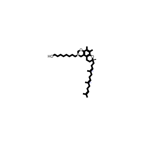 CC(C)=CCC/C(C)=C/CC/C(C)=C/CC[C@]1(C)CCc2c3c(c(C)c(C)c2O1)OCN(CCCCCCCCO)C3